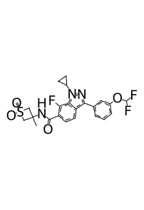 CC1(NC(=O)c2ccc3c(-c4cccc(OC(F)F)c4)nn(C4CC4)c3c2F)CS(=O)(=O)C1